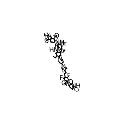 CCOc1cc(N2CCC(N3CCN(CCc4c(F)cc5c(c4F)OCN5C4CCC(=O)NC4=O)CC3)CC2)c(CC)cc1Nc1ncc(Br)c(Nc2ccc3c(=O)n(CC)ncc3c2P(C)(C)=O)n1